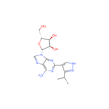 CC(C)c1n[nH]cc1-c1nc(N)c2ncn([C@@H]3O[C@H](CO)[C@@H](O)[C@H]3O)c2n1